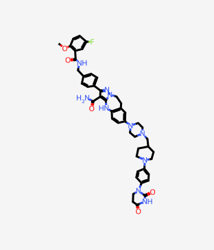 COc1ccc(F)cc1C(=O)NCc1ccc(-c2nn3c(c2C(N)=O)Nc2ccc(N4CCN(CC5CCN(c6ccc(N7CCC(=O)NC7=O)cc6)CC5)CC4)cc2CC3)cc1